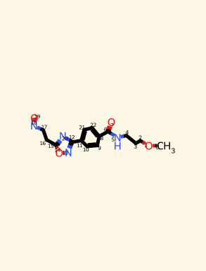 COCCCNC(=O)c1ccc(-c2noc(CCN=O)n2)cc1